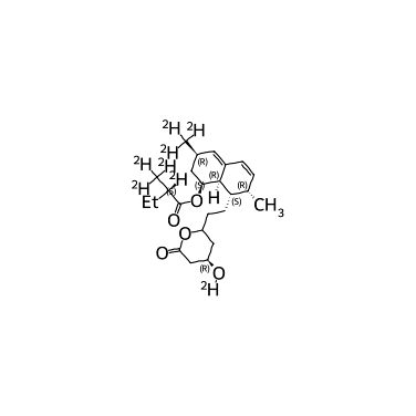 [2H]O[C@H]1CC(=O)OC(CC[C@@H]2[C@@H]3C(=C[C@H](C([2H])([2H])[2H])C[C@@H]3OC(=O)[C@]([2H])(CC)C([2H])([2H])[2H])C=C[C@@H]2C)C1